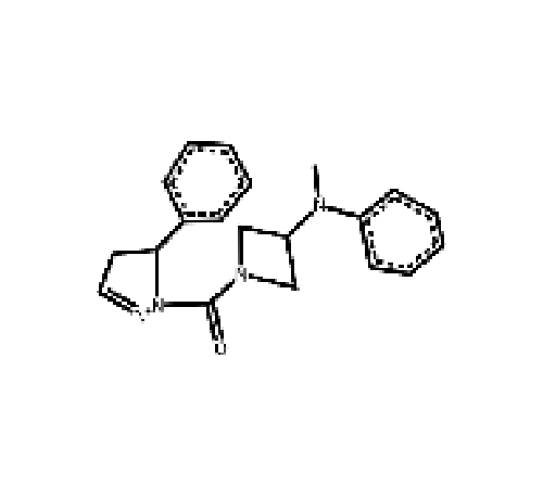 CN(c1ccccc1)C1CN(C(=O)N2N=CCC2c2ccccc2)C1